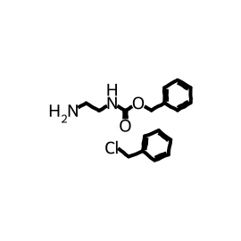 ClCc1ccccc1.NCCNC(=O)OCc1ccccc1